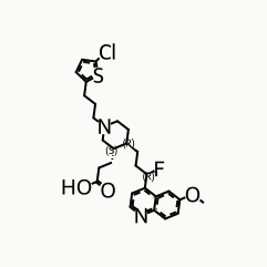 COc1ccc2nccc([C@H](F)CC[C@@H]3CCN(CCCc4ccc(Cl)s4)C[C@H]3CCC(=O)O)c2c1